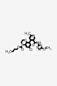 CCCCOC(=O)N1CCOc2c(-c3cc(C)ncc3C(=O)Nc3nnc(OC)s3)cc(Cl)cc21